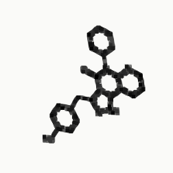 O=c1c2c(Cc3ccc(O)cc3)n[nH]c2c2cccnc2n1-c1ccccc1